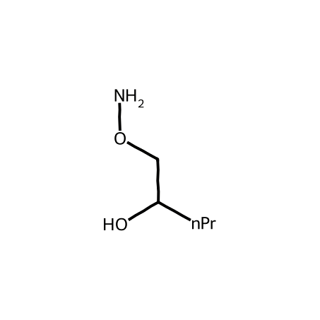 CCCC(O)CON